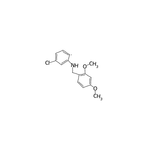 COc1ccc(CNc2[c]ccc(Cl)c2)c(OC)c1